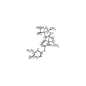 CO[C@]1(NC(=O)Cn2ccc(=O)c(C)c2)C(=O)N2[C@@H](C(=O)O)C(C)(C)S[C@@H]21